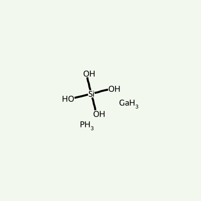 O[Si](O)(O)O.P.[GaH3]